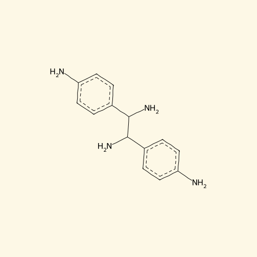 Nc1ccc(C(N)C(N)c2ccc(N)cc2)cc1